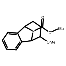 COC1CCC2c3ccccc3C1N2C(=O)OC(C)(C)C